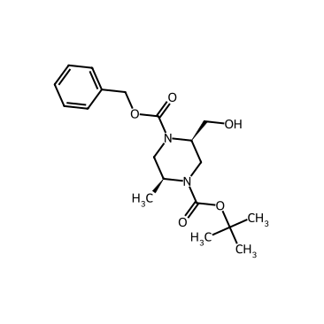 C[C@H]1CN(C(=O)OCc2ccccc2)[C@@H](CO)CN1C(=O)OC(C)(C)C